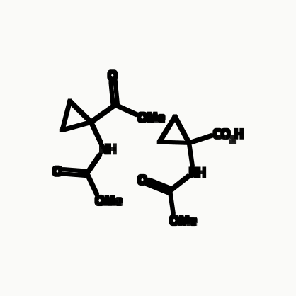 COC(=O)NC1(C(=O)O)CC1.COC(=O)NC1(C(=O)OC)CC1